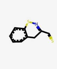 S=CC1=NSc2ccccc2C1